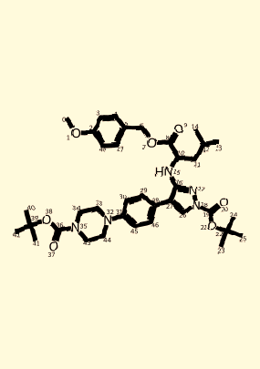 COc1ccc(COC(=O)C(CC(C)C)Nc2nn(C(=O)OC(C)(C)C)cc2-c2ccc(N3CCN(C(=O)OC(C)(C)C)CC3)cc2)cc1